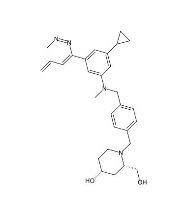 C=C/C=C(\N=N/C)c1cc(C2CC2)cc(N(C)Cc2ccc(CN3CC[C@@H](O)C[C@H]3CO)cc2)c1